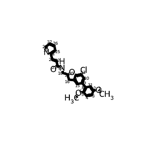 COc1ccc(OC)c(-c2cc(Cl)c3c(c2)CC(CNC(=O)/C=C/c2ccccn2)O3)c1